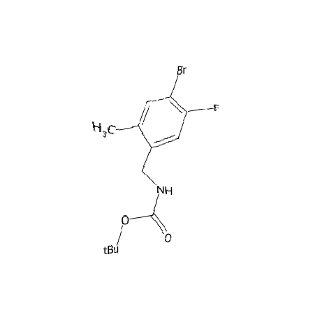 Cc1cc(Br)c(F)cc1CNC(=O)OC(C)(C)C